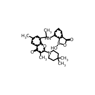 Cc1cc(C(C)Nc2cccc3c2B(O)OC3=O)c2oc(N3CCC(C)(C)CC3)c(C)c(=O)c2c1